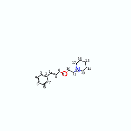 C(=Cc1ccccc1)COCCN1CCCCC1